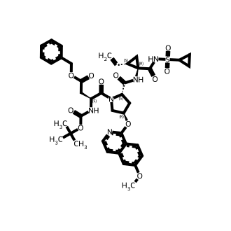 C=C[C@@H]1C[C@]1(NC(=O)[C@@H]1C[C@@H](Oc2nccc3cc(OC)ccc23)CN1C(=O)[C@H](CC(=O)OCc1ccccc1)NC(=O)OC(C)(C)C)C(=O)NS(=O)(=O)C1CC1